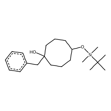 CC(C)(C)[Si](C)(C)OC1CCCC(O)(Cc2ccccc2)CCC1